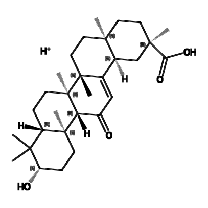 CC1(C)[C@@H](O)CC[C@]2(C)[C@H]3C(=O)C=C4[C@@H]5C[C@](C)(C(=O)O)CC[C@]5(C)CC[C@@]4(C)[C@]3(C)CC[C@@H]12.[H+]